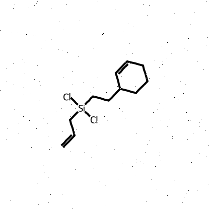 C=CC[Si](Cl)(Cl)CCC1C=CCCC1